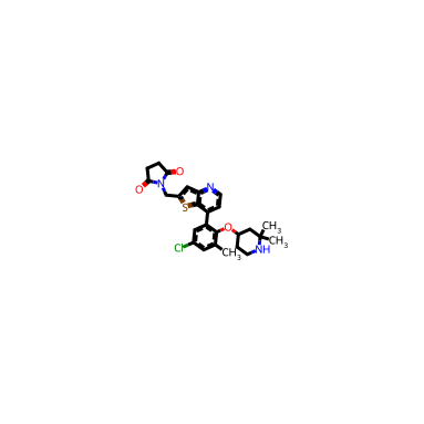 Cc1cc(Cl)cc(-c2ccnc3cc(CN4C(=O)CCC4=O)sc23)c1OC1CCNC(C)(C)C1